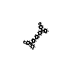 COc1ccc(N(C2=CCCC=C2)c2ccc(-c3ccc(-c4ccc(N(c5ccccc5)c5ccc(OC)cc5)cc4)cc3)cc2)cc1